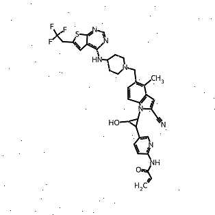 C=CC(=O)Nc1ccc(C2C(O)C2n2c(C#N)cc3c(C)c(CN4CCC(Nc5ncnc6sc(CC(F)(F)F)cc56)CC4)ccc32)cn1